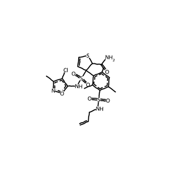 C=CCNS(=O)(=O)c1c(C)cc(C)c(C2(S(=O)(=O)Nc3onc(C)c3Cl)C=CSC2C(N)=O)c1C